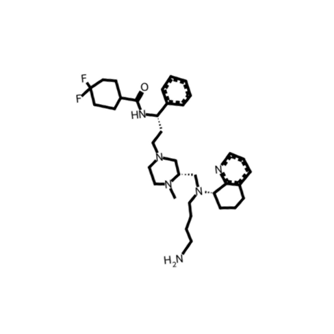 CN1CCN(CC[C@H](NC(=O)C2CCC(F)(F)CC2)c2ccccc2)C[C@@H]1CN(CCCCN)[C@H]1CCCc2cccnc21